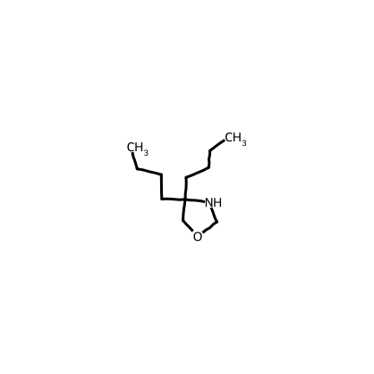 CCCCC1(CCCC)COCN1